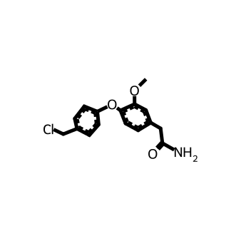 COc1cc(CC(N)=O)ccc1Oc1ccc(CCl)cc1